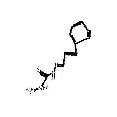 NNC(=S)NN=CC=Cc1ccccc1